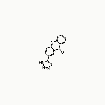 O=c1c2ccccc2nc2ccc(-c3nnn[nH]3)cn12